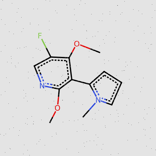 COc1ncc(F)c(OC)c1-c1cccn1C